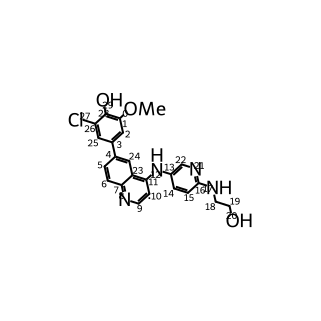 COc1cc(-c2ccc3nc[c]c(Nc4ccc(NCCO)nc4)c3c2)cc(Cl)c1O